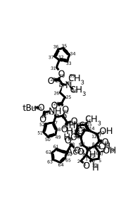 CC(=O)O[C@@]12CO[C@@H]1C[C@H](O)[C@@]1(C)C(=O)[C@H](O)C3=C(C)[C@@H](OC(=O)[C@H](OC(=O)CC[C@@H](C(=O)OCc4ccccc4)N(C)C)[C@@H](NC(=O)OC(C)(C)C)c4ccccc4)C[C@@](O)([C@@H](OC(=O)c4ccccc4)[C@H]21)C3(C)C